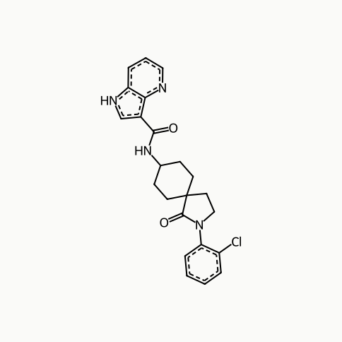 O=C(NC1CCC2(CC1)CCN(c1ccccc1Cl)C2=O)c1c[nH]c2cccnc12